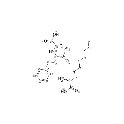 CCCCCCCC[C@H](N)C(=O)O.C[C@@H](N[C@@H](CCc1ccccc1)C(=O)O)C(=O)O